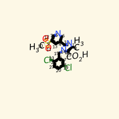 Cc1nc(-c2cncc(S(C)(=O)=O)c2)n(Cc2cc(Cl)ccc2Cl)c1C(=O)O